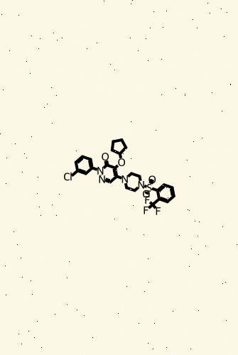 O=c1c(OC2CCCC2)c(N2CCN(S(=O)(=O)c3ccccc3C(F)(F)F)CC2)cnn1-c1cccc(Cl)c1